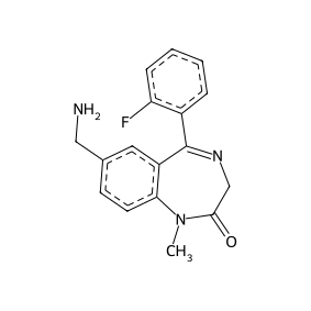 CN1C(=O)CN=C(c2ccccc2F)c2cc(CN)ccc21